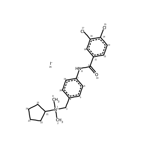 C[N+](C)(Cc1ccc(NC(=O)c2ccc(Cl)c(Cl)c2)cc1)C1CCCC1.[I-]